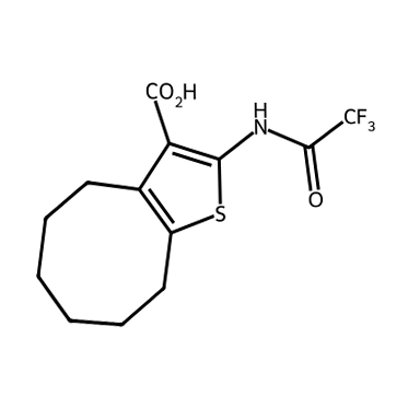 O=C(O)c1c(NC(=O)C(F)(F)F)sc2c1CCCCCC2